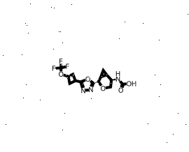 O=C(O)N[C@H]1CO[C@H](c2nnc(C3CC(OC(F)(F)F)C3)o2)C2CC21